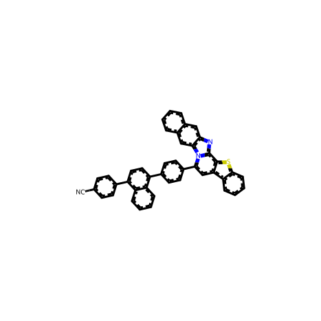 N#Cc1ccc(-c2ccc(-c3ccc(-c4cc5c6ccccc6sc5c5nc6cc7ccccc7cc6n45)cc3)c3ccccc23)cc1